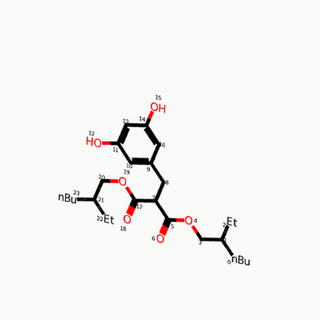 CCCCC(CC)COC(=O)C(Cc1cc(O)cc(O)c1)C(=O)OCC(CC)CCCC